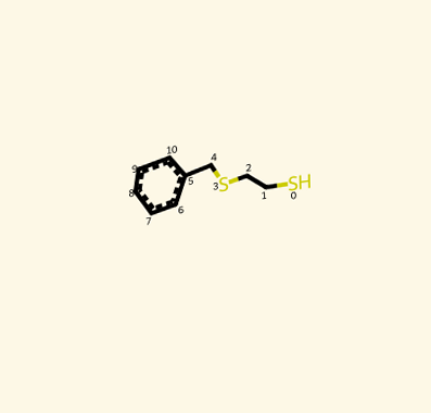 SCCSCc1ccccc1